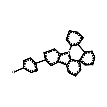 Clc1ccc(-c2ccc3c(c2)c2ccccc2n3-c2ccccc2-c2ccccc2)cc1